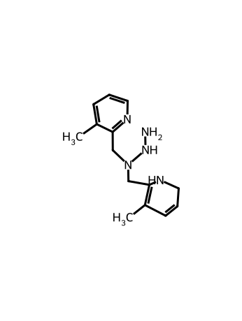 CC1=C(CN(Cc2ncccc2C)NN)NCC=C1